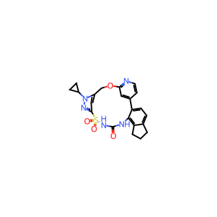 O=C1Nc2c(ccc3c2CCC3)-c2ccnc(c2)OCc2cc(nn2C2CC2)S(=O)(=O)N1